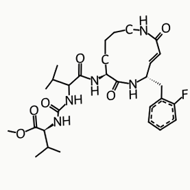 COC(=O)[C@@H](NC(=O)NC(C(=O)N[C@H]1CCCCNC(=O)/C=C/[C@H](Cc2ccccc2F)NC1=O)C(C)C)C(C)C